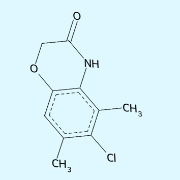 Cc1cc2c(c(C)c1Cl)NC(=O)CO2